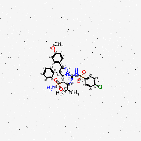 COc1ccc(C2=NN(/C(=N\[C@H](CS(N)(=O)=O)C(C)C)NS(=O)(=O)c3ccc(Cl)cc3)C[C@@H]2c2ccccc2)cc1